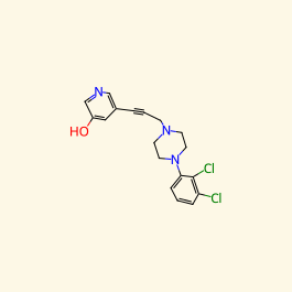 Oc1cncc(C#CCN2CCN(c3cccc(Cl)c3Cl)CC2)c1